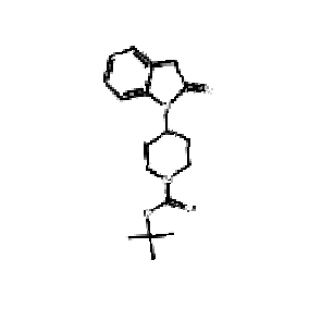 CC(C)(C)OC(=O)N1CCC(N2C(=O)Cc3ccccc32)CC1